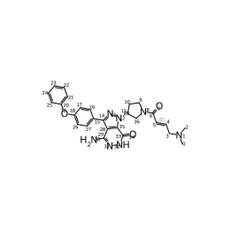 CN(C)C/C=C/C(=O)N1CC[C@@H](n2nc(-c3ccc(Oc4ccccc4)cc3)c3c(N)n[nH]c(=O)c32)C1